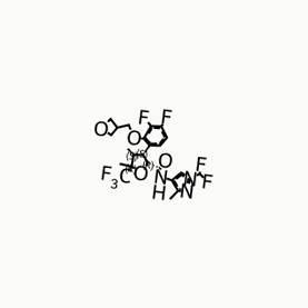 Cc1nn(C(F)F)cc1NC(=O)[C@@H]1O[C@@](C)(C(F)(F)F)[C@@H](C)[C@H]1c1ccc(F)c(F)c1OCC1COC1